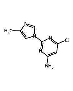 Cc1cn(-c2nc(N)cc(Cl)n2)cn1